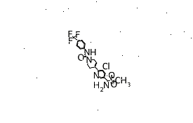 CS(=O)(=O)C(N)c1cnc(C2=CCN(C(=O)Nc3ccc(C(F)(F)F)cc3)CC2)c(Cl)c1